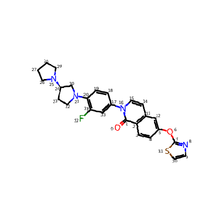 O=c1c2ccc(Oc3nccs3)cc2ccn1-c1ccc(N2CC[C@@H](N3CCCC3)C2)c(F)c1